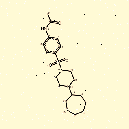 CC(=O)Nc1ccc(S(=O)(=O)N2CCN(C3CCCCCC3)CC2)cc1